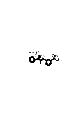 Cc1c(-c2cccc(C(O)C(F)(F)F)c2)[nH]c(C(=O)O)c1-c1ccccc1